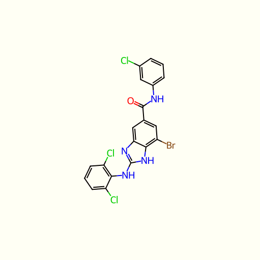 O=C(Nc1cccc(Cl)c1)c1cc(Br)c2[nH]c(Nc3c(Cl)cccc3Cl)nc2c1